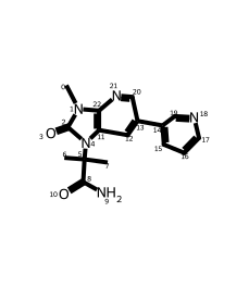 Cn1c(=O)n(C(C)(C)C(N)=O)c2cc(-c3cccnc3)cnc21